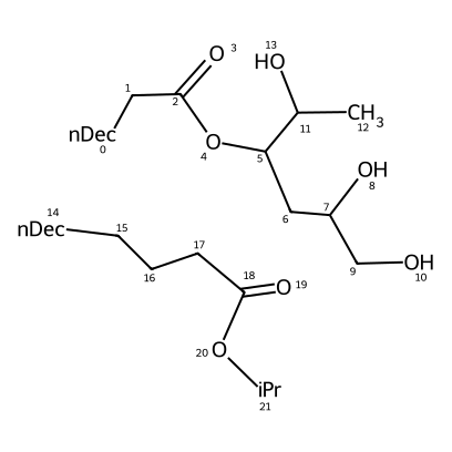 CCCCCCCCCCCC(=O)OC(CC(O)CO)C(C)O.CCCCCCCCCCCCCC(=O)OC(C)C